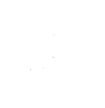 c1ccc(CN2CCCc3nc4ccccc4cc3C2)cc1